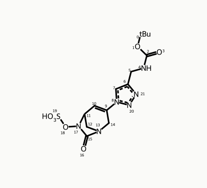 CC(C)(C)OC(=O)NCc1cn(C2=CC3CN(C2)C(=O)N3OS(=O)(=O)O)nn1